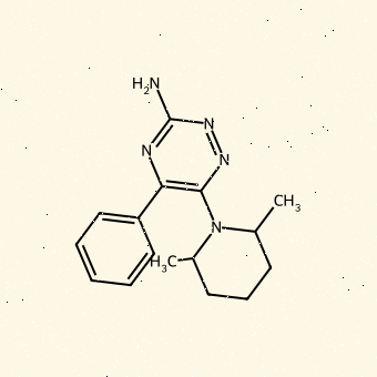 CC1CCCC(C)N1c1nnc(N)nc1-c1ccccc1